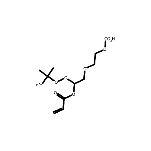 C=CC(=O)OC(COCCOC(=O)O)OOC(C)(C)CCC